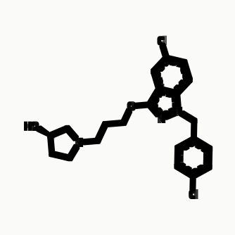 O[C@@H]1CCN(CCCOc2nn(Cc3ccc(Cl)cc3)c3ccc(Cl)cc23)C1